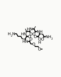 COCCOCC(=O)N[C@@H](CCCCN)C(=O)N[C@@H](C)C(=O)N[C@@H](C)C(=O)N[C@@H](CC(N)=O)C(=O)O